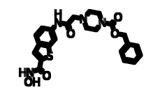 O=C(CN1CCN(C(=O)OCc2ccccc2)CC1)Nc1ccc2cc(C(=O)NO)sc2c1